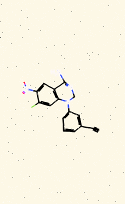 C#Cc1cccc(N2CN=C(N)c3cc([N+](=O)[O-])c(F)cc32)c1